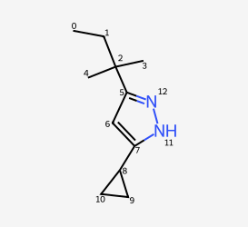 CCC(C)(C)c1cc(C2CC2)[nH]n1